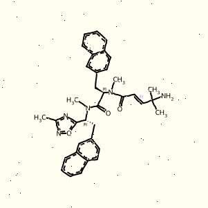 Cc1noc([C@@H](Cc2ccc3ccccc3c2)N(C)C(=O)[C@@H](Cc2ccc3ccccc3c2)N(C)C(=O)/C=C/C(C)(C)N)n1